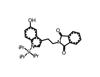 CC(C)[Si](C(C)C)(C(C)C)n1cc(CCN2C(=O)c3ccccc3C2=O)c2cc(O)ccc21